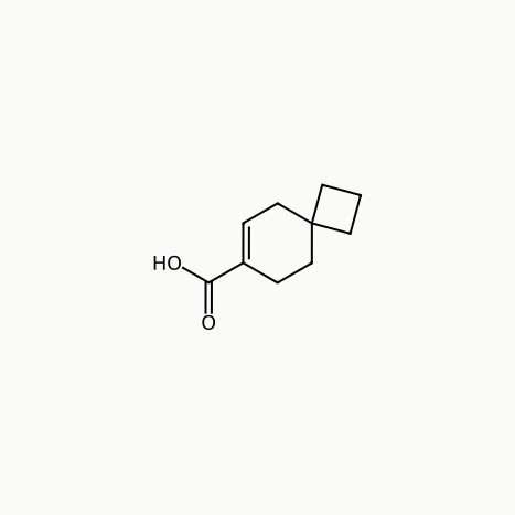 O=C(O)C1=CCC2(CCC2)CC1